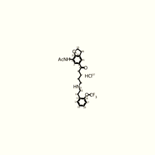 CC(=O)Nc1cc(C(=O)CCCCNCCc2ccccc2OC(F)(F)F)cc2c1OCC2.Cl